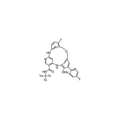 [2H]C([2H])([2H])NC(=O)c1cnc2cc1Nc1cc(cc(-c3ncc(F)cn3)c1OC)COCc1nc(ccc1F)N2